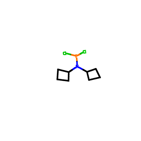 ClP(Cl)N(C1CCC1)C1CCC1